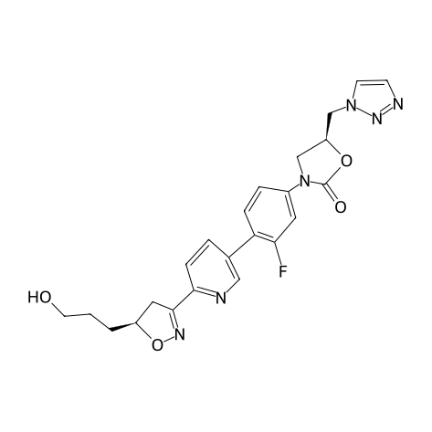 O=C1O[C@H](Cn2ccnn2)CN1c1ccc(-c2ccc(C3=NO[C@@H](CCCO)C3)nc2)c(F)c1